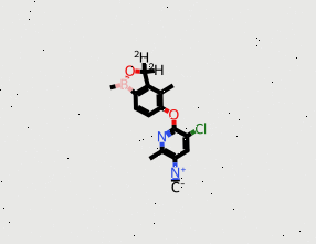 [2H]C1([2H])OB(C)c2ccc(Oc3nc(C)c([N+]#[C-])cc3Cl)c(C)c21